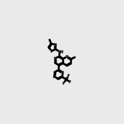 Cc1csc(Nc2ncc(-c3cncc(C(F)(F)F)n3)c3ccc(C)nc23)n1